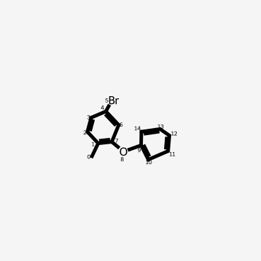 Cc1ccc(Br)cc1Oc1ccccc1